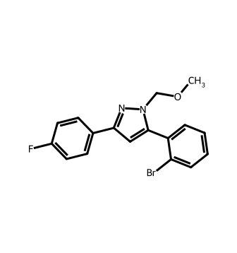 COCn1nc(-c2ccc(F)cc2)cc1-c1ccccc1Br